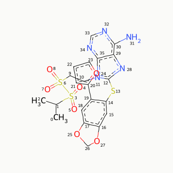 CC(C)S(=O)(=O)S(=O)(=O)CCn1c(Sc2cc3c(cc2-c2ccco2)OCO3)nc2c(N)ncnc21